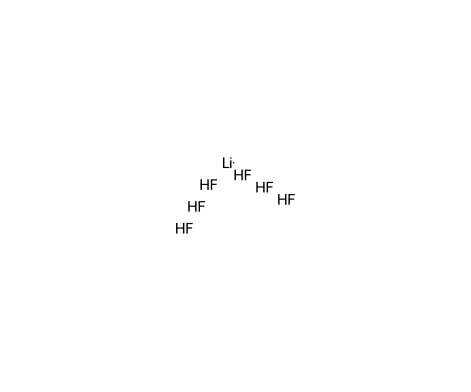 F.F.F.F.F.F.[Li]